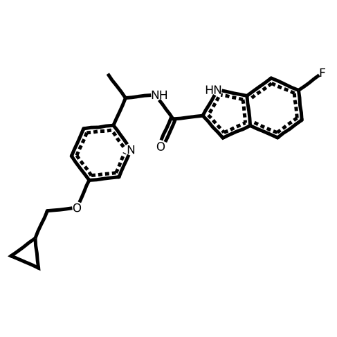 CC(NC(=O)c1cc2ccc(F)cc2[nH]1)c1ccc(OCC2CC2)cn1